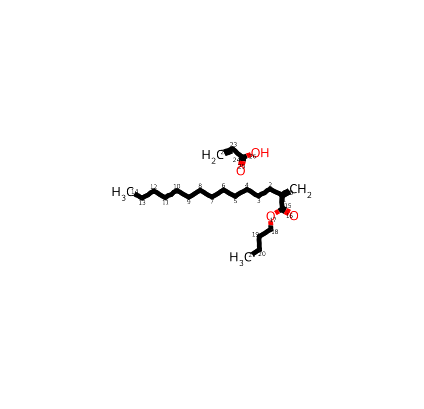 C=C(CCCCCCCCCCCCC)C(=O)OCCCC.C=CC(=O)O